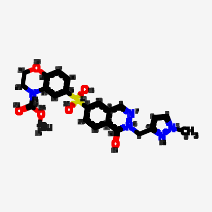 Cn1ccc(Cn2ncc3cc(S(=O)(=O)c4ccc5c(c4)N(C(=O)OC(C)(C)C)CCO5)ccc3c2=O)n1